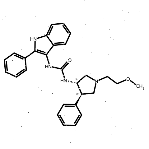 COCCN1C[C@@H](NC(=O)Nc2c(-c3ccccc3)[nH]c3ccccc23)[C@H](c2ccccc2)C1